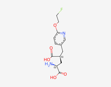 N[C@@H](C[C@H](Cc1ccc(OCCF)nc1)C(=O)O)C(=O)O